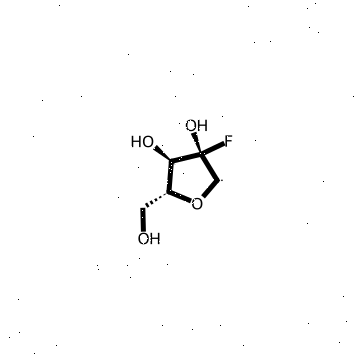 OC[C@H]1O[CH][C@@](O)(F)[C@@H]1O